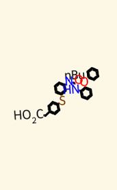 CCCCN(C(=O)Nc1ccccc1Oc1ccccc1)c1cccc(Sc2ccc(CC(=O)O)cc2)c1